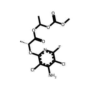 COC(=O)OC(C)OC(=O)[C@@H](C)Oc1nc(F)c(Cl)c(N)c1Cl